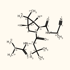 C[C@@H](C#N)NC(=O)[C@@H]1[C@@H]2[C@H](CN1C(=O)[C@@H](NC(=S)N(C)C)C(C)(C)C)C2(C)C